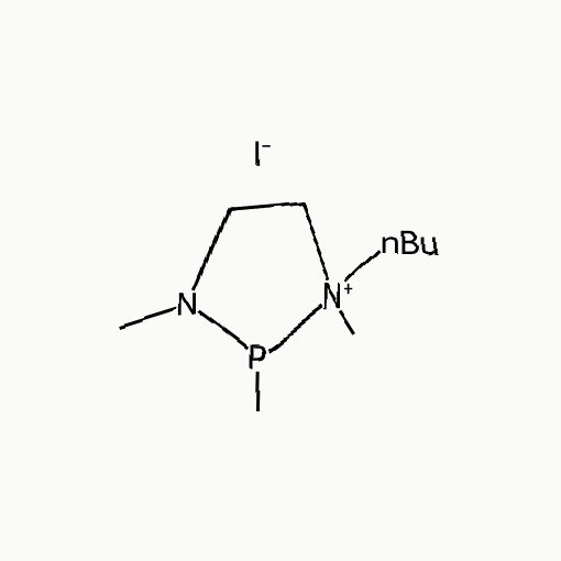 CCCC[N+]1(C)CCN(C)P1C.[I-]